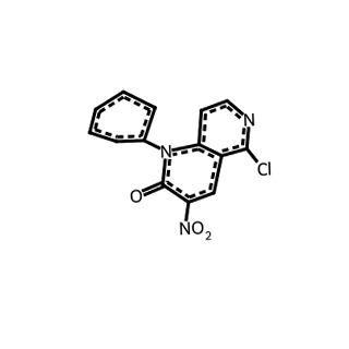 O=c1c([N+](=O)[O-])cc2c(Cl)nccc2n1-c1ccccc1